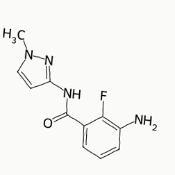 Cn1ccc(NC(=O)c2cccc(N)c2F)n1